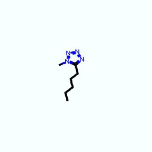 CCCCCc1nnnn1C